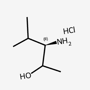 CC(C)[C@@H](N)C(C)O.Cl